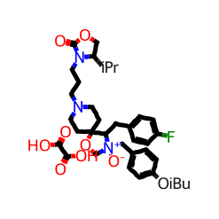 CC(C)COc1ccc(C[N+]2([O-])COC3(CCN(CCCN4C(=O)OCC4C(C)C)CC3)C2Cc2ccc(F)cc2)cc1.O=C(O)C(=O)O